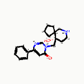 O=c1cc(-c2ccccc2)ncn1C[C@]1(O)CCNCC12CCCC2